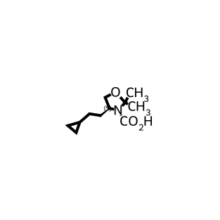 CC1(C)OC[C@H](CCC2CC2)N1C(=O)O